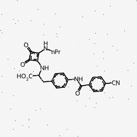 CCCNc1c(NC(Cc2ccc(NC(=O)c3ccc(C#N)cc3)cc2)C(=O)O)c(=O)c1=O